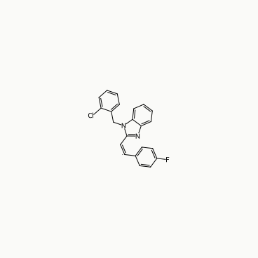 Fc1ccc(/[C]=C\c2nc3ccccc3n2Cc2ccccc2Cl)cc1